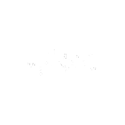 CC(C)(C)[C@](COC(N)=O)(Nc1nc(Cl)c(C#N)cc1F)C1CC1